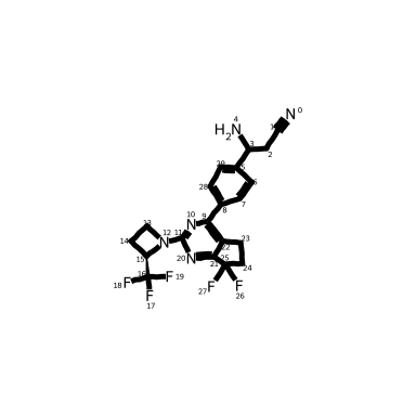 N#CCC(N)c1ccc(-c2nc(N3CC[C@@H]3C(F)(F)F)nc3c2CCC3(F)F)cc1